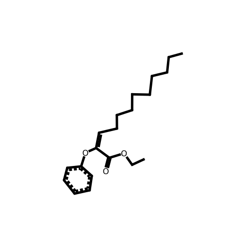 CCCCCCCCCC=C(Oc1ccccc1)C(=O)OCC